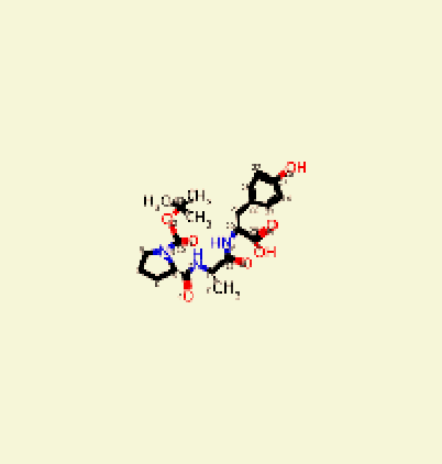 C[C@H](NC(=O)[C@@H]1CCCN1C(=O)OC(C)(C)C)C(=O)N[C@@H](Cc1ccc(O)cc1)C(=O)O